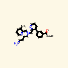 COC(=O)c1cccc(-c2cccnc2CN(CCCCN)Cc2ncccc2C)c1